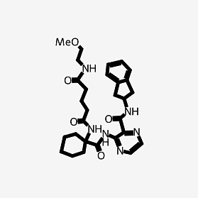 COCCNC(=O)CCCC(=O)NC1(C(=O)Nc2nccnc2C(=O)NC2Cc3ccccc3C2)CCCCC1